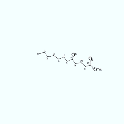 CCCCCCCC(=O)CCCC(=O)OC